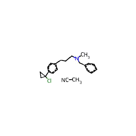 CC#N.CN(CCCc1ccc(C2(Cl)CC2)cc1)Cc1ccccc1